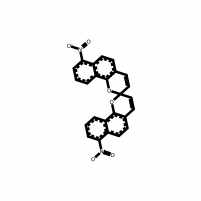 O=[N+]([O-])c1cccc2c3c(ccc12)C=CC1(C=Cc2ccc4c([N+](=O)[O-])cccc4c2O1)O3